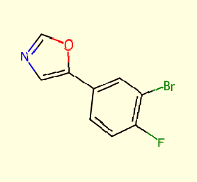 Fc1ccc(-c2cnco2)cc1Br